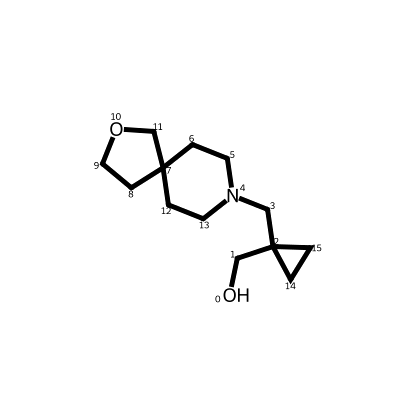 OCC1(CN2CCC3(CCOC3)CC2)CC1